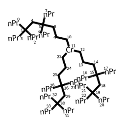 CCCC(CCC)(CCC)CC(CCC)(CCC)CC[CH2][Cr]([CH2]CCC(CCC)(CCC)CC(CCC)(CCC)CCC)[CH2]CCC(CCC)(CCC)CC(CCC)(CCC)CCC